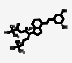 CC(C)(O)CCC[C@@H](CCC(=O)C(C)(C)O)C1CCC2/C(=C/C=C3C[C@@H](O)C[C@H](O)C3)CCC[C@@]21C